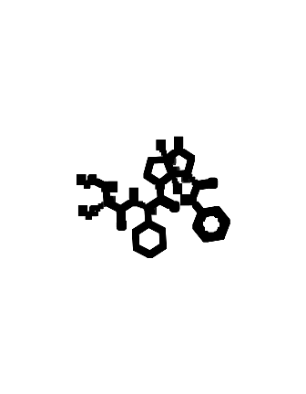 CN[C@@H](C)C(=O)N[C@H](C(=O)N1CC[C@H]2NC[C@H](C(=O)Nc3ccccc3)[C@H]21)C1CCCCC1